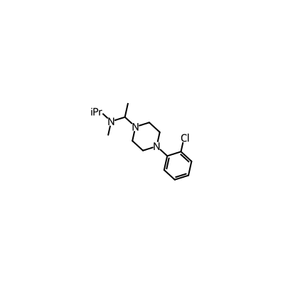 CC(C)N(C)C(C)N1CCN(c2ccccc2Cl)CC1